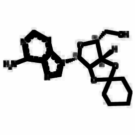 Nc1ncnc2c1ncn2[C@@H]1O[C@H](CO)[C@@H]2OC3(CCCCC3)OC21